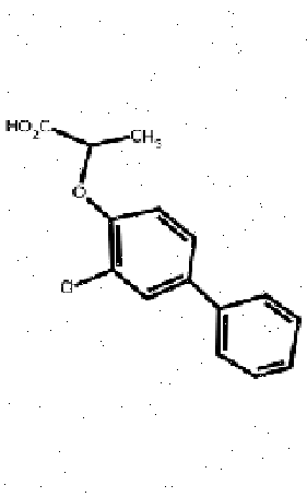 CC(Oc1ccc(-c2ccccc2)cc1Cl)C(=O)O